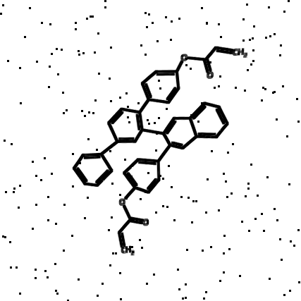 C=CC(=O)Oc1ccc(-c2ccc(-c3ccccc3)cc2-c2cc3ccccc3cc2-c2ccc(OC(=O)C=C)cc2)cc1